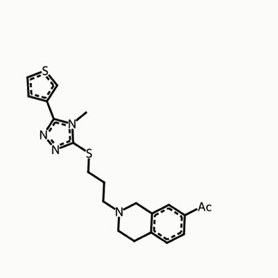 CC(=O)c1ccc2c(c1)CN(CCCSc1nnc(-c3ccsc3)n1C)CC2